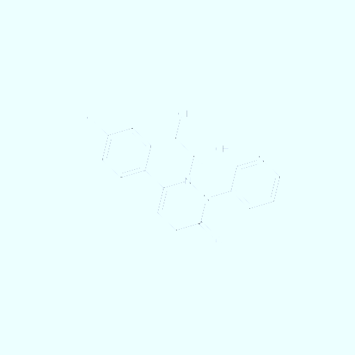 Cc1ccc(C2=CCC(=O)N(c3cccnc3)N2[C@@H](C)CO)cc1